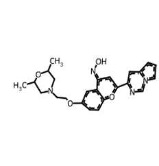 CC1CN(CCOc2ccc3oc(-c4cc5cccn5cn4)cc(=NO)c3c2)CC(C)O1